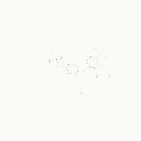 CCOc1cc(OC(F)(F)F)ccc1Oc1ccc(C(F)(F)F)c(F)c1C(=O)O